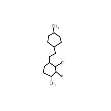 CC1CCC(CCC2CC[C@@H](C)C(F)C2Cl)CC1